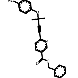 CC(C)(C#Cc1ccc(C(=O)OCc2ccccc2)cn1)Oc1ccc(C#N)cc1